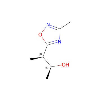 Cc1noc([C@H](C)[C@H](C)O)n1